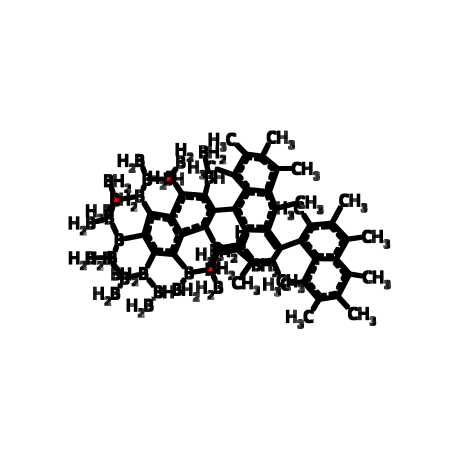 BBB(B)B(B(B)B)c1c(B(B(B)B)B(B)B)c(B(BB)B(B)B)c(B(B)B(B)B)c2c(B(B)BB)c(-c3c4c(c(C)c5c(C)c(C)c(C)c(C)c35)=C(c3c(C)c(C)c(C)c5c(C)c(C)c(C)c(C)c35)C(C)C(C)C=4C)c(BB)c(B)c12